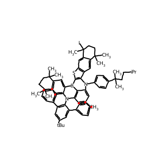 Cc1cc2c3c(c1)N(c1ccc(C(C)(C)CCC(C)C)cc1)c1c(sc4cc5c(cc14)C(C)(C)CCC5(C)I)B3c1cc3c(cc1N2c1c(-c2ccccc2)cc(C(C)(C)C)cc1-c1ccccc1)C(C)(C)CCC3(C)C